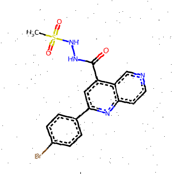 CS(=O)(=O)NNC(=O)c1cc(-c2ccc(Br)cc2)nc2ccncc12